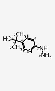 CC(C)(O)c1ccc(NN)nc1